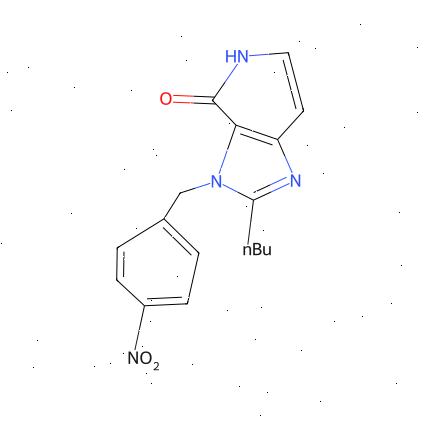 CCCCc1nc2cc[nH]c(=O)c2n1Cc1ccc([N+](=O)[O-])cc1